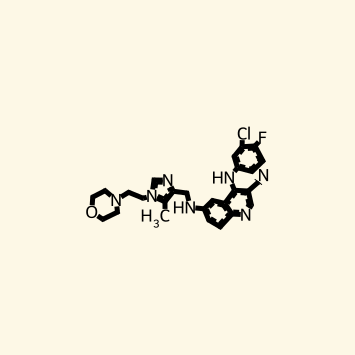 Cc1c(CNc2ccc3ncc(C#N)c(Nc4ccc(F)c(Cl)c4)c3c2)ncn1CCN1CCOCC1